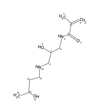 C=C(C)C(=O)NCC(O)CNCCC(C)O